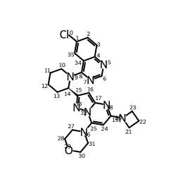 Clc1ccc2ncnc(N3CCCC[C@@H]3c3cc4nc(N5CCC5)cc(N5CCOCC5)n4n3)c2c1